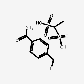 CC(S(=O)(=O)O)S(=O)(=O)O.NC(=O)c1ccc(CF)cc1